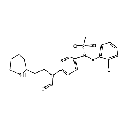 CS(=O)(=O)N(Cc1ccccc1Cl)c1ccc(N(C=O)CCC2CCCCN2)cc1